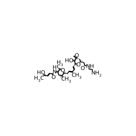 CC(C=C[C@H]1O[C@H](CC(=O)NCCN)C[C@@]2(CO2)[C@@H]1O)=CC[C@@H]1O[C@H](C)[C@H](NC(=O)C=C[C@H](C)O)C[C@@H]1C